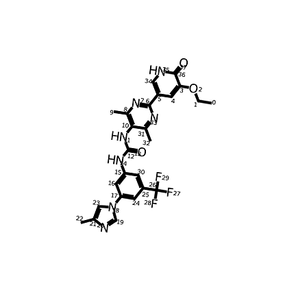 CCOc1cc(-c2nc(C)c(NC(=O)Nc3cc(-n4cnc(C)c4)cc(C(F)(F)F)c3)c(C)n2)c[nH]c1=O